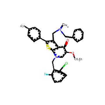 CCOC(=O)Oc1cn(Cc2c(F)cccc2Cl)c2sc(-c3ccc([N+](=O)[O-])cc3)c(CN(C)Cc3ccccc3)c2c1=O